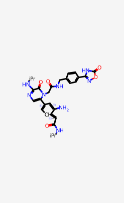 C\C=C(/C=C(N)\C=C\C(=O)NC(C)C)c1cnc(NC(C)C)c(=O)n1CC(=O)NCc1ccc(-c2noc(=O)[nH]2)cc1